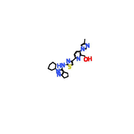 Cc1cn(-c2ccc(-c3csc(Nc4c5c(nn4C4CCCCC4)CCC5)n3)nc2CO)cn1